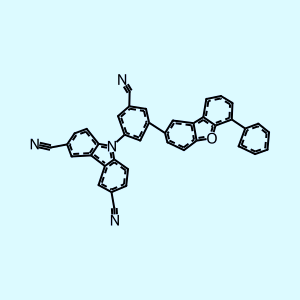 N#Cc1cc(-c2ccc3oc4c(-c5ccccc5)cccc4c3c2)cc(-n2c3ccc(C#N)cc3c3cc(C#N)ccc32)c1